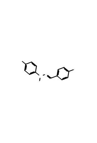 [O-][S+](/N=C/c1ccc(Br)cc1)c1ccc(F)cc1